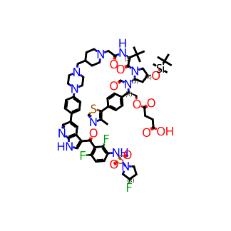 Cc1ncsc1-c1ccc([C@H](COC(=O)CCC(=O)O)N(C=O)[C@@H]2C[C@@H](O[Si](C)(C)C(C)(C)C)CN2C(=O)[C@@H](NC(=O)CN2CCC(CN3CCN(c4ccc(-c5cnc6[nH]cc(C(=O)c7c(F)ccc(NS(=O)(=O)N8CC[C@@H](F)C8)c7F)c6c5)cc4)CC3)CC2)C(C)(C)C)cc1